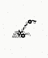 COC(=O)C1=C(C#N)NC(C)=C(C(=O)OCCOCCOc2ccc(CC3CO3)cc2)C1c1cccc([N+](=O)[O-])c1